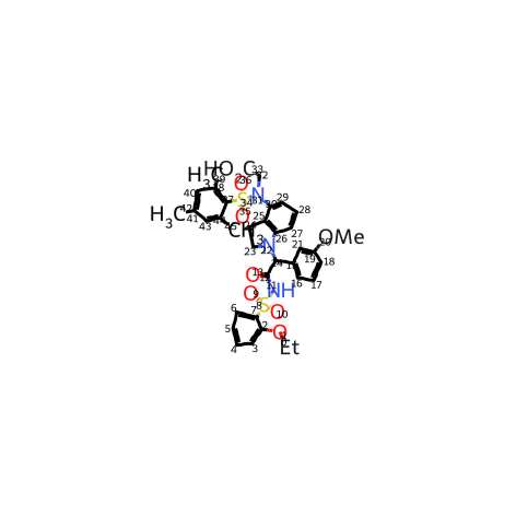 CCOc1ccccc1S(=O)(=O)NC(=O)C(c1cccc(OC)c1)N1CCc2c1cccc2N(CC(=O)O)S(=O)(=O)c1c(C)cc(C)cc1C